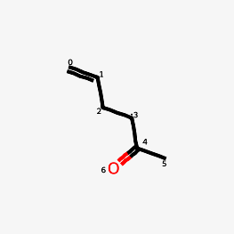 C=CC[CH]C(C)=O